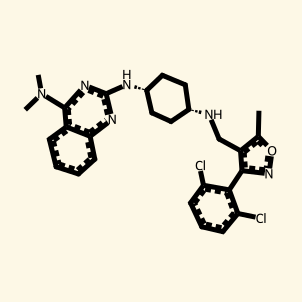 Cc1onc(-c2c(Cl)cccc2Cl)c1CN[C@H]1CC[C@@H](Nc2nc(N(C)C)c3ccccc3n2)CC1